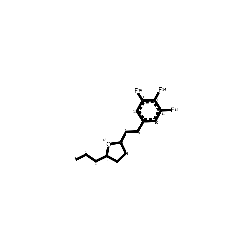 CCCC1CCC(CCc2cc(F)c(F)c(F)c2)O1